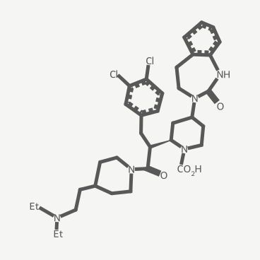 CCN(CC)CCC1CCN(C(=O)C(Cc2ccc(Cl)c(Cl)c2)[C@H]2CC(N3CCc4ccccc4NC3=O)CCN2C(=O)O)CC1